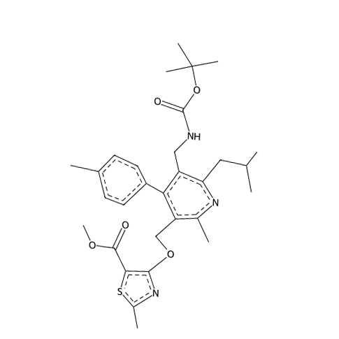 COC(=O)c1sc(C)nc1OCc1c(C)nc(CC(C)C)c(CNC(=O)OC(C)(C)C)c1-c1ccc(C)cc1